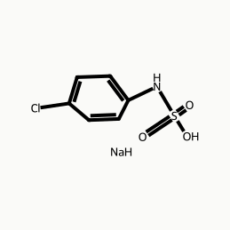 O=S(=O)(O)Nc1ccc(Cl)cc1.[NaH]